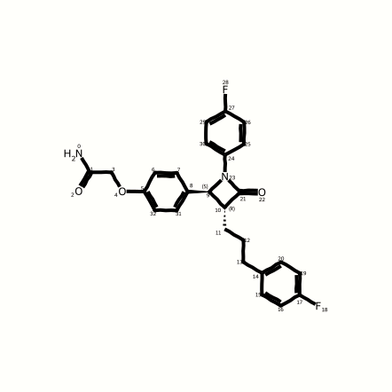 NC(=O)COc1ccc([C@@H]2[C@@H](CCCc3ccc(F)cc3)C(=O)N2c2ccc(F)cc2)cc1